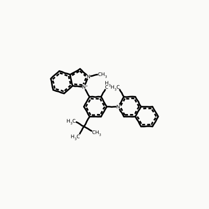 Cc1c(-[n+]2cc3ccccc3cc2C)cc(C(C)(C)C)cc1-[n+]1c2ccccc2cn1C